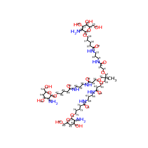 CC(COCCC(=O)NCCCNC(=O)CCCCOC1OC(CO)C(O)C(O)C1N)(COCCC(=O)NCCCNC(=O)CCCCOC1OC(CO)CC(O)[C@@H]1N)COCCC(=O)NCCCNC(=O)CCCCOC1OC(CO)CC(O)[C@@H]1N